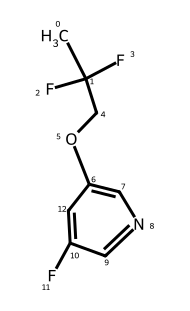 CC(F)(F)COc1cncc(F)c1